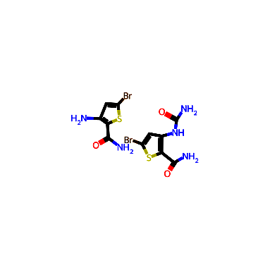 NC(=O)Nc1cc(Br)sc1C(N)=O.NC(=O)c1sc(Br)cc1N